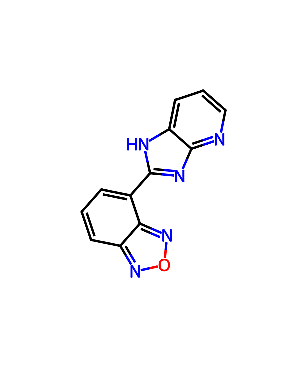 c1cc(-c2nc3ncccc3[nH]2)c2nonc2c1